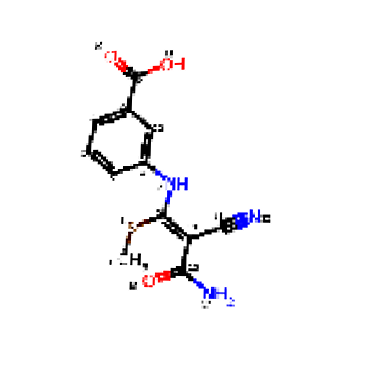 CS/C(Nc1cccc(C(=O)O)c1)=C(/C#N)C(N)=O